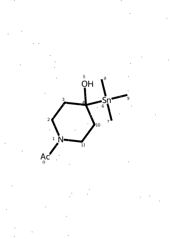 CC(=O)N1CC[C](O)([Sn]([CH3])([CH3])[CH3])CC1